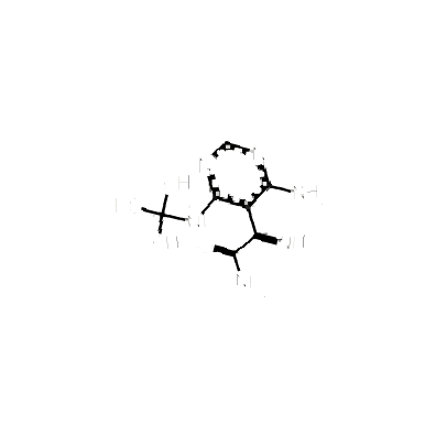 CC(C)(C)Nc1ncnc(N)c1C(=N)C(N)=O